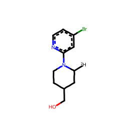 [2H]C1CC(CO)CCN1c1cc(Br)ccn1